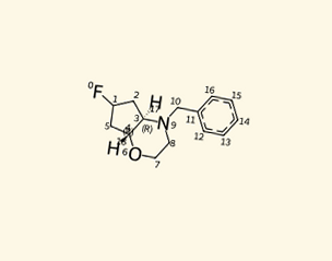 FC1C[C@@H]2[C@@H](C1)OCCN2Cc1ccccc1